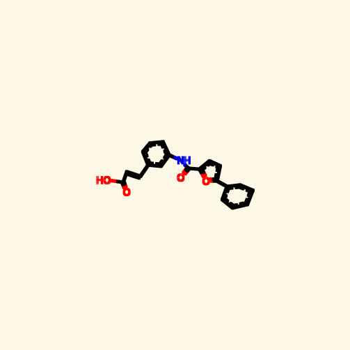 O=C(O)C=Cc1cccc(NC(=O)c2ccc(-c3ccccc3)o2)c1